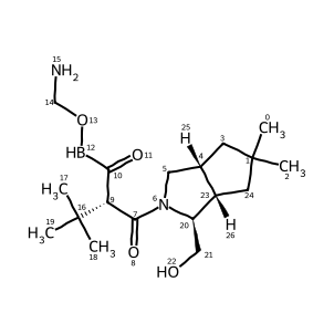 CC1(C)C[C@H]2CN(C(=O)[C@@H](C(=O)BOCN)C(C)(C)C)[C@H](CO)[C@H]2C1